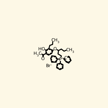 CCCc1c(OC(CCC)CC[P+](c2ccccc2)(c2ccccc2)c2ccccc2)ccc(C(C)=O)c1O.[Br-]